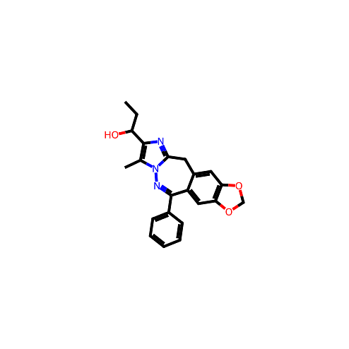 CCC(O)c1nc2n(c1C)N=C(c1ccccc1)c1cc3c(cc1C2)OCO3